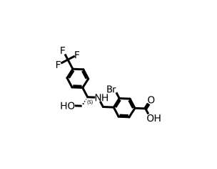 O=C(O)c1ccc(CN[C@H](CO)c2ccc(C(F)(F)F)cc2)c(Br)c1